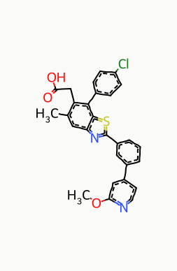 COc1cc(-c2cccc(-c3nc4cc(C)c(CC(=O)O)c(-c5ccc(Cl)cc5)c4s3)c2)ccn1